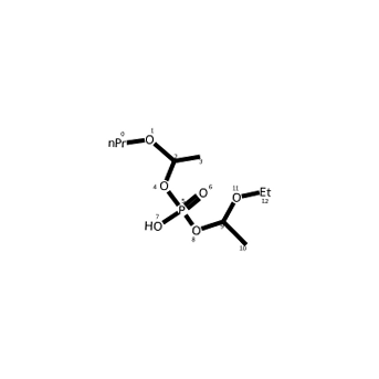 CCCOC(C)OP(=O)(O)OC(C)OCC